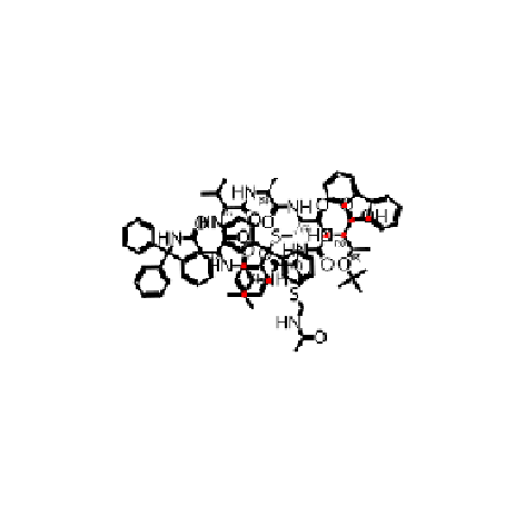 CC(=O)NCSC[C@H](NC(=O)OCC1c2ccccc2-c2ccccc21)C(=O)N[C@H](C(=O)N[C@@H](CC(=O)NC(c1ccccc1)(c1ccccc1)c1ccccc1)C(=O)N[C@H](C(=O)N[C@@H](C)C(=O)N[C@@H](CSC(c1ccccc1)(c1ccccc1)c1ccccc1)C(=O)N[C@H](C(=O)O)[C@@H](C)OC(C)(C)C)C(C)C)C(C)C